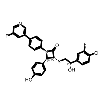 O=C1[C@H](SC[C@@H](O)c2ccc(Cl)c(F)c2)[C@@H](c2ccc(O)cc2)N1c1ccc(-c2cncc(F)c2)cc1